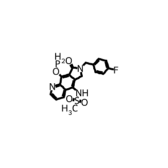 CS(=O)(=O)Nc1c2c(c(OP)c3ncccc13)C(=O)N(Cc1ccc(F)cc1)C2